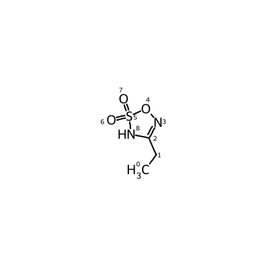 CCC1=NOS(=O)(=O)N1